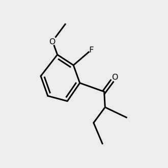 CCC(C)C(=O)c1cccc(OC)c1F